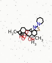 C=C1C2CCC3C45C[C@]46c4nc(N7CCCCCC7)sc4CC(C)(C)C6[C@H](O)[C@@](O)(O5)[C@]34C(=O)C1[C@H]24